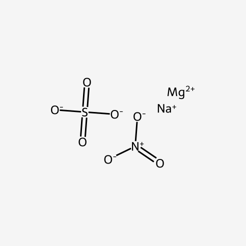 O=S(=O)([O-])[O-].O=[N+]([O-])[O-].[Mg+2].[Na+]